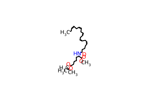 CC/C=C\C/C=C\C/C=C\C/C=C\C/C=C\CCCC(=O)NC(CCCCC(=O)OC(C)(C)C)C(=O)OC